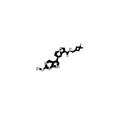 CCOc1ncc2c(-c3ccn4ncc(C(=O)NCC5CC(F)(F)C5)c4c3)c[nH]c2n1